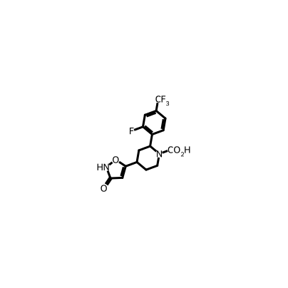 O=C(O)N1CCC(c2cc(=O)[nH]o2)CC1c1ccc(C(F)(F)F)cc1F